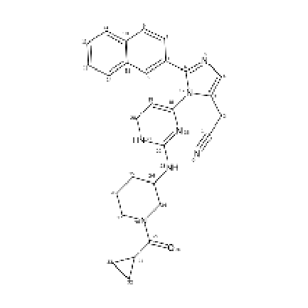 N#CCc1cnc(-c2ccc3ccccc3c2)n1C1=CCNC(NC2CCCN(C(=O)C3CC3)C2)=N1